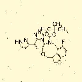 CC(C)(C)OC(=O)N1Cc2c(F)ccc3c2C(CO3)COc2cc(-c3cc[nH]n3)c3nncn3c21